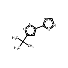 CC(C)(C)c1cc(-c2ncno2)no1